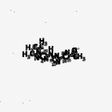 Cc1nc2cnc(Nc3ccnc(-c4ccc([S+](C)[O-])nc4)n3)cc2n1C(C)C